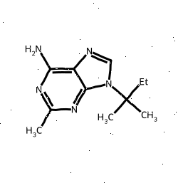 CCC(C)(C)n1cnc2c(N)nc(C)nc21